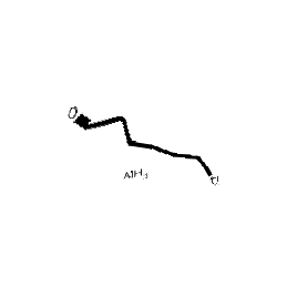 O=CCCCCCCl.[AlH3]